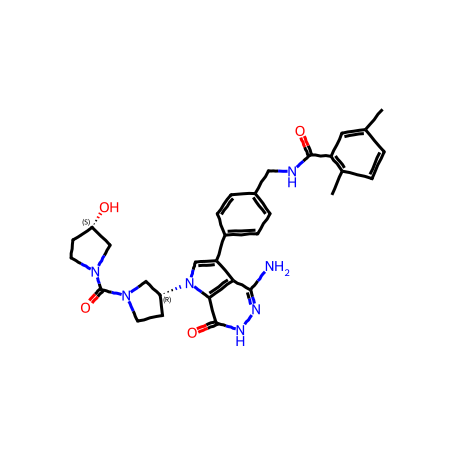 Cc1ccc(C)c(C(=O)NCc2ccc(-c3cn([C@@H]4CCN(C(=O)N5CC[C@H](O)C5)C4)c4c(=O)[nH]nc(N)c34)cc2)c1